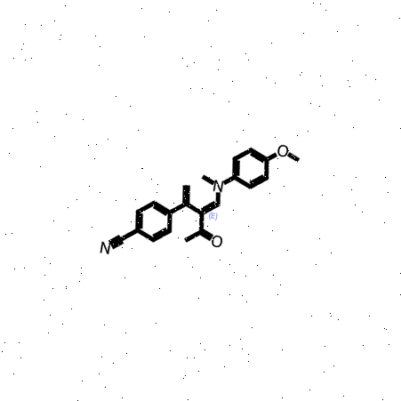 C=C(/C(=C\N(C)c1ccc(OC)cc1)C(C)=O)c1ccc(C#N)cc1